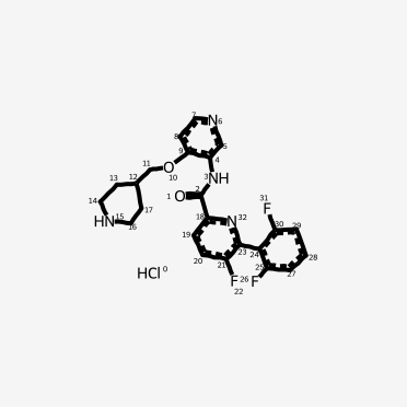 Cl.O=C(Nc1cnccc1OCC1CCNCC1)c1ccc(F)c(-c2c(F)cccc2F)n1